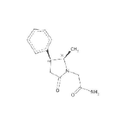 C[C@@H]1[C@H](c2ccccc2)CC(=O)N1CC(N)=O